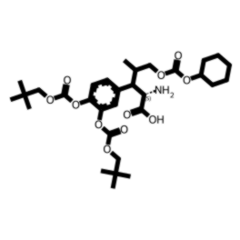 CC(COC(=O)OC1CCCCC1)C(c1ccc(OC(=O)OCC(C)(C)C)c(OC(=O)OCC(C)(C)C)c1)[C@H](N)C(=O)O